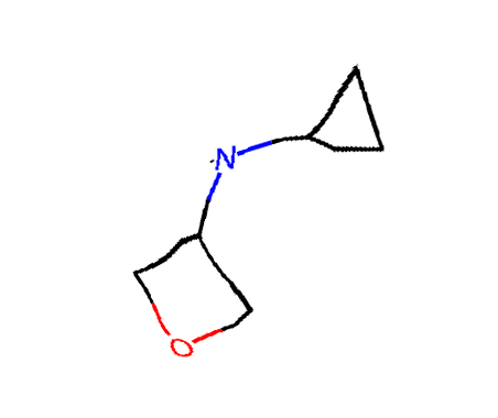 C1CC1[N]C1COC1